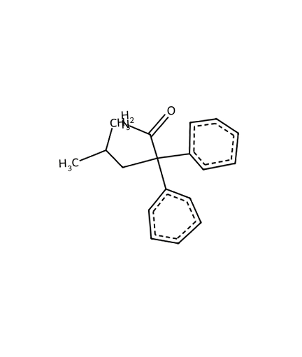 CC(C)CC(C(N)=O)(c1ccccc1)c1ccccc1